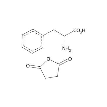 NC(Cc1ccccc1)C(=O)O.O=C1CCC(=O)O1